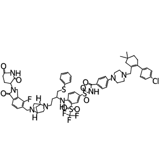 CC1(C)CCC(c2ccc(Cl)cc2)=C(CN2CCN(c3ccc(C(=O)NS(=O)(=O)c4ccc(NC(CCN5C[C@H]6C[C@@H]5CN6Cc5ccc6c(c5F)CN(C5CCC(=O)NC5=O)C6=O)CSc5ccccc5)c(S(=O)(=O)C(F)(F)F)c4)cc3)CC2)C1